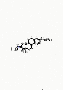 CCCCOc1ccc2c(c1)CCC1C2CC[C@]2(C)C(=O)/C(=C\O)CC12